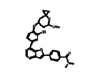 COC1CC(Oc2ccc(-c3ccnc4cc(-c5ccc(C(=O)N(C)C)cc5)oc34)cc2C#N)CC2(CC2)O1